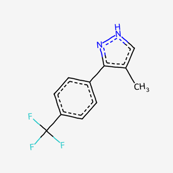 Cc1c[nH]nc1-c1ccc(C(F)(F)F)cc1